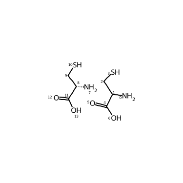 NC(CS)C(=O)O.N[C@@H](CS)C(=O)O